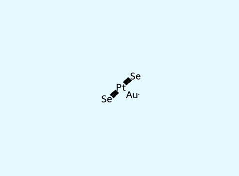 [Au].[Se]=[Pt]=[Se]